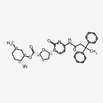 CC(C)[C@@H]1CC[C@@H](C)C[C@H]1OC(=O)[C@@H]1O[C@H](n2ccc(NC(=O)CC(C)(c3ccccc3)c3ccccc3)nc2=O)CS1